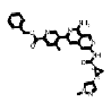 Cc1cc(C(=O)OCc2ccccc2)ncc1-c1cc2cc(NC(=O)[C@H]3C[C@@H]3c3cnn(C)c3)ncc2c(N)n1